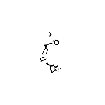 Cn1cc2cc(COc3nc(N4CCC5(CC4)CC5c4nc5ccc(C(=O)O)cc5n4C[C@@H]4CCO4)c(F)cc3F)ccc2n1